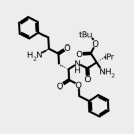 CC(C)[C@](N)(C(=O)N[C@@H](CC(=O)[C@@H](N)Cc1ccccc1)C(=O)OCc1ccccc1)C(=O)OC(C)(C)C